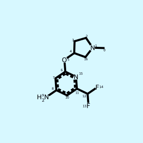 CN1CCC(Oc2cc(N)cc(C(F)F)n2)C1